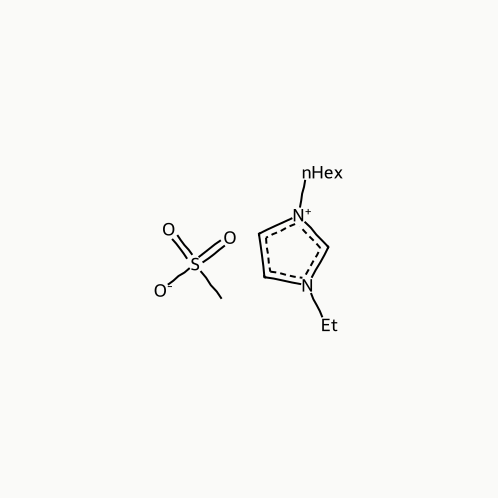 CCCCCC[n+]1ccn(CC)c1.CS(=O)(=O)[O-]